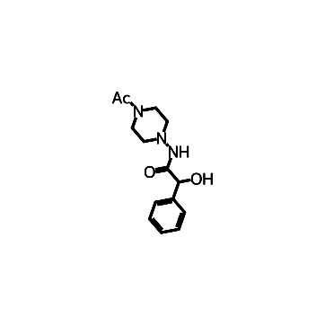 CC(=O)N1CCN(NC(=O)C(O)c2ccccc2)CC1